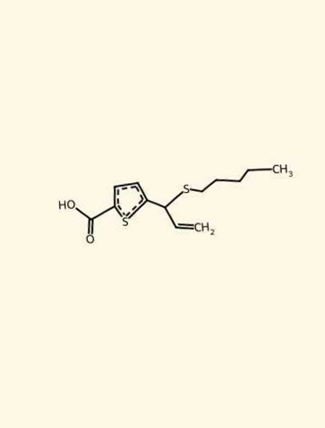 C=CC(SCCCCC)c1ccc(C(=O)O)s1